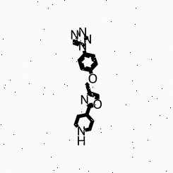 c1cc(-n2cnnn2)ccc1OCc1coc(C2CCNCC2)n1